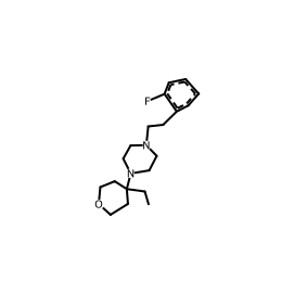 CCC1(N2CCN(CCc3ccccc3F)CC2)CCOCC1